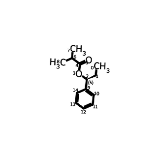 CC[C@H](OC(=O)C(C)C)c1ccccc1